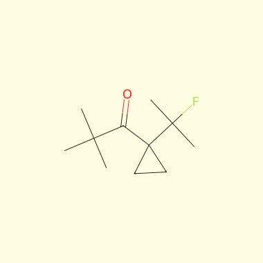 CC(C)(C)C(=O)C1(C(C)(C)F)CC1